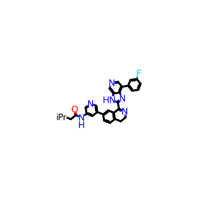 CC(C)CC(=O)Nc1cncc(-c2ccc3c(c2)C(c2nc4c(-c5cccc(F)c5)cncc4[nH]2)=NCC3)c1